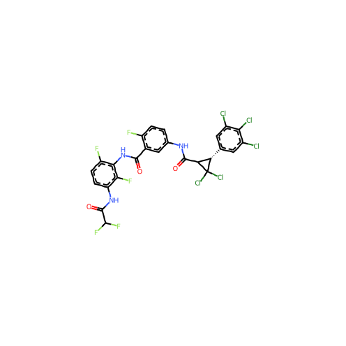 O=C(Nc1c(F)ccc(NC(=O)C(F)F)c1F)c1cc(NC(=O)C2[C@H](c3cc(Cl)c(Cl)c(Cl)c3)C2(Cl)Cl)ccc1F